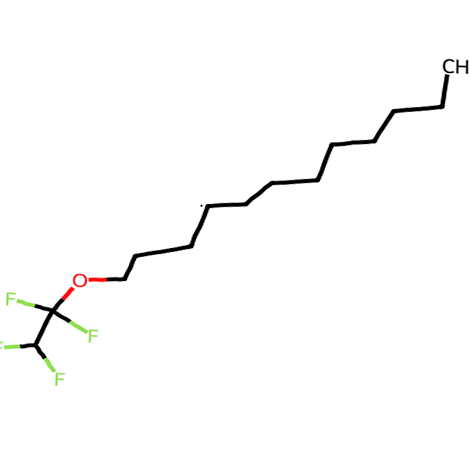 CCCCCCCC[CH]CCCOC(F)(F)C(F)F